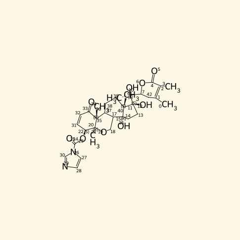 CC1=C(C)C(=O)OC([C@](C)(O)[C@]2(O)CC[C@@]3(O)C4CO[C@@]5(C)[C@@H](OC(=O)n6ccnc6)C=CC(=O)[C@]5(C)C4CC[C@]23C)C1